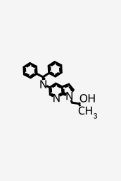 CC(O)Cn1ccc2cc(N=C(c3ccccc3)c3ccccc3)cnc21